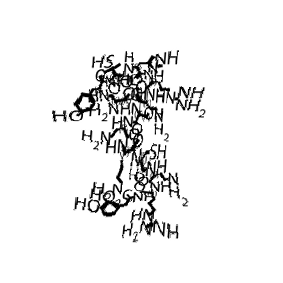 C[C@@H](O)[C@H](N)C(=O)N[C@@H](Cc1ccc(O)cc1)C(=O)N[C@H](C(=O)N[C@@H](Cc1c[nH]cn1)C(=O)N[C@@H](CCCNC(=N)N)C(=O)N[C@@H](CCN)C(=O)N[C@H](C(=O)N[C@H](CCN)C(=O)N[C@@H](CCCCN)C(=O)N[C@@H](CS)C(=O)N[C@@H](CCN)C(=O)N[C@@H](CCCNC(=N)N)C(=O)N[C@@H](Cc1ccc(O)cc1)C(=O)O)[C@@H](C)O)C(C)(C)S